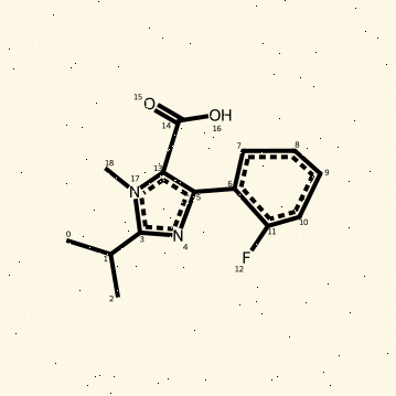 CC(C)c1nc(-c2ccccc2F)c(C(=O)O)n1C